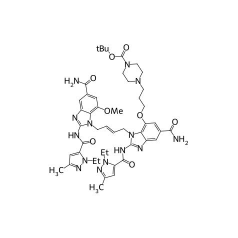 CCn1nc(C)cc1C(=O)Nc1nc2cc(C(N)=O)cc(OC)c2n1CC=CCn1c(NC(=O)c2cc(C)nn2CC)nc2cc(C(N)=O)cc(OCCCN3CCN(C(=O)OC(C)(C)C)CC3)c21